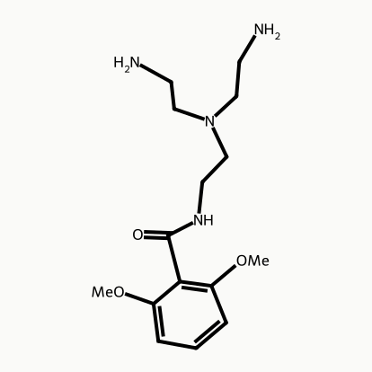 COc1cccc(OC)c1C(=O)NCCN(CCN)CCN